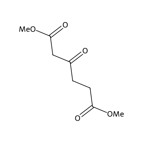 COC(=O)CCC(=O)CC(=O)OC